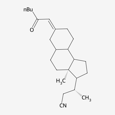 CCCCC(=O)/C=C1/CCC2C(CC[C@@]3(C)C2CCC3[C@H](C)CC#N)C1